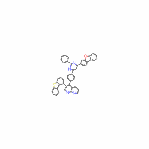 c1ccc(-c2nc(-c3ccc(-c4c(-c5cccc6sc7ccccc7c56)cnc5ncccc45)cc3)cc(-c3ccc4c(c3)oc3ccccc34)n2)cc1